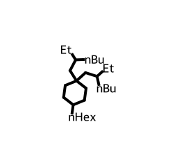 CCCCCCC1CCC(CC(CC)CCCC)(CC(CC)CCCC)CC1